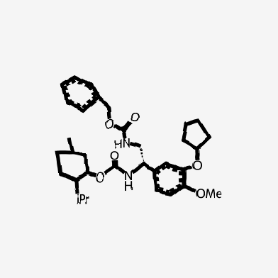 COc1ccc([C@@H](CNC(=O)OCc2ccccc2)NC(=O)OC2CC(C)CCC2C(C)C)cc1OC1CCCC1